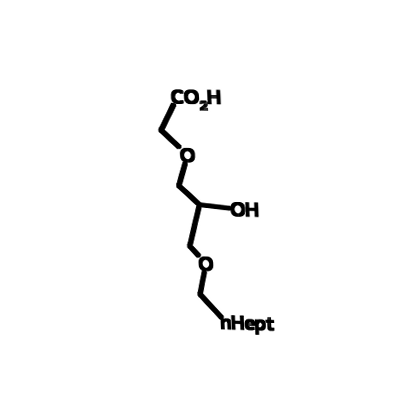 CCCCCCCCOCC(O)COCC(=O)O